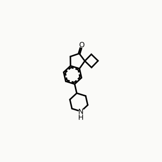 O=C1Cc2ccc(C3CCNCC3)cc2C12CCC2